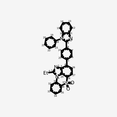 CCc1nc2c(-c3ccc(-c4nc5ccccc5n4-c4ccccc4)cc3)ccc3c2n1-c1ccccc1S3(=O)=O